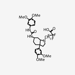 COc1ccc(NC(=O)NC2CCC3(c4ccc(OC)c(OC)c4)CCN(C)C3C2)cc1OC.O=C(O)C(F)(F)F